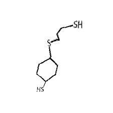 SCCSC1CCC(S)CC1